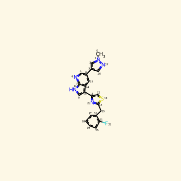 Cn1cc(-c2cnc3[nH]cc(-c4csc(Cc5ccccc5F)n4)c3c2)cn1